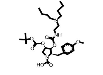 CCCCN(CCCC)CCNC(=O)O[C@@H]1[C@@H](OC(=O)OC(C)(C)C)CN(C(=O)O)[C@@H]1Cc1ccc(OC)cc1